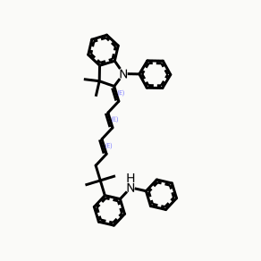 CC(C)(C/C=C/C=C/C=C1/N(c2ccccc2)c2ccccc2C1(C)C)c1ccccc1Nc1ccccc1